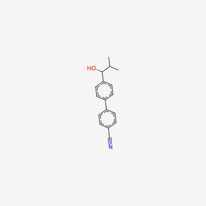 CC(C)C(O)c1ccc(-c2ccc(C#N)cc2)cc1